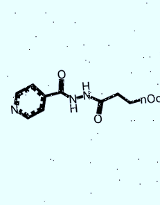 CCCCCCCCCCC(=O)NNC(=O)c1ccncc1